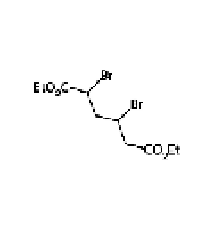 CCOC(=O)CC(Br)CC(Br)C(=O)OCC